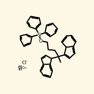 CC(CCCO[Si](c1ccccc1)(c1ccccc1)c1ccccc1)(C1=CC=C2C=CC=CC21)C1C=Cc2ccccc21.[Cl-].[Cl-].[Zr+2]